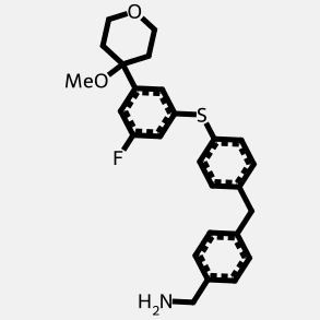 COC1(c2cc(F)cc(Sc3ccc(Cc4ccc(CN)cc4)cc3)c2)CCOCC1